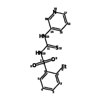 CCc1ccccc1S(=O)(=O)NC(=S)Nc1cccnc1